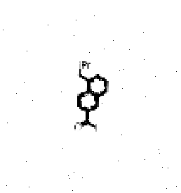 CC(C)Cc1cccc2cc(C(=O)I)ccc12